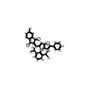 Cc1ccc2c(c1)C(=O)/C(=C\c1cc3oc(-c4ccccc4)cc3n1-c1c(C(C)C)cccc1C(C)C)C2=O